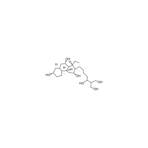 C[C@H](CCC(O)C(CO)CO)[C@H]1CC[C@H]2[C@@H]3[C@H](O)C[C@@H]4C[C@H](O)CC[C@]4(C)[C@H]3C[C@H](O)[C@]12C